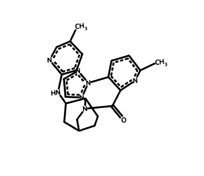 Cc1ccc(NC2CC3CCC2N(C(=O)c2nc(C)ccc2-n2nccn2)C3)nc1